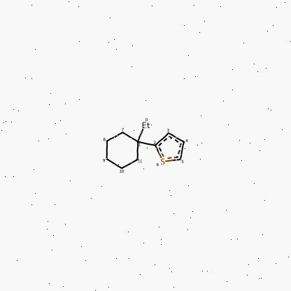 CCC1(c2cccs2)CCCCC1